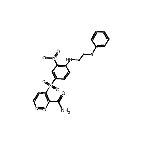 NC(=O)c1nnccc1S(=O)(=O)c1ccc(NCCSc2ccccc2)c([N+](=O)[O-])c1